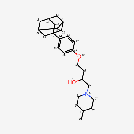 CC1CCN(CC(O)CCOc2ccc(C34CC5CC(CC(C5)C3)C4)cc2)CC1